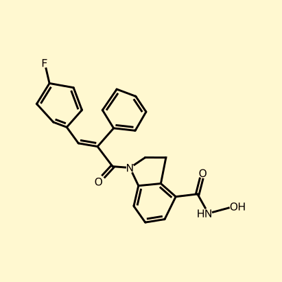 O=C(NO)c1cccc2c1CCN2C(=O)C(=Cc1ccc(F)cc1)c1ccccc1